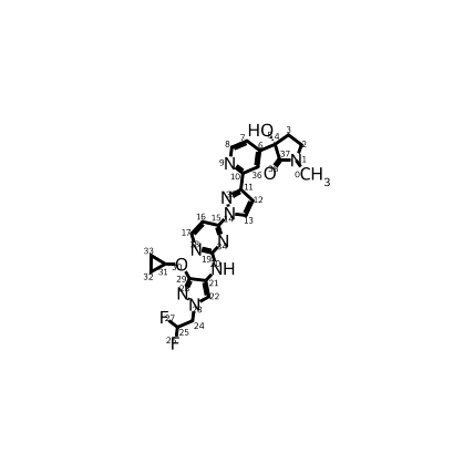 CN1CC[C@](O)(c2ccnc(-c3ccn(-c4ccnc(Nc5cn(CC(F)F)nc5OC5CC5)n4)n3)c2)C1=O